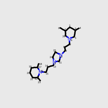 CC1CC(C)CN(CCCN2[C]N(CCCN3C(C)CCCC3C)CC2)C1